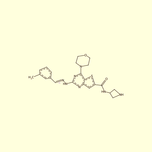 Cc1cccc(/C=N/Nc2nc(N3CCOCC3)c3sc(C(=O)NC4CNC4)cc3n2)c1